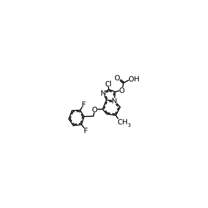 Cc1cc(OCc2c(F)cccc2F)c2nc(Cl)c(OC(=O)O)n2c1